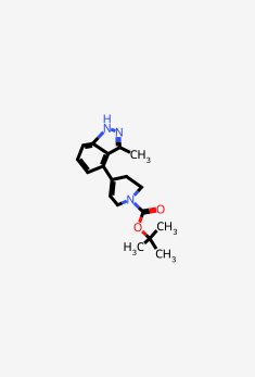 Cc1n[nH]c2cccc(C3=CCN(C(=O)OC(C)(C)C)CC3)c12